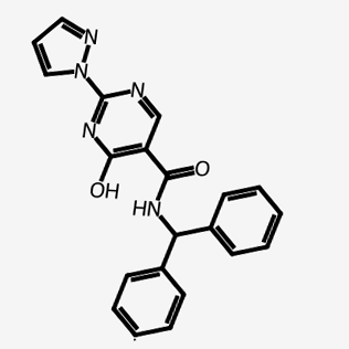 O=C(NC(c1cc[c]cc1)c1ccccc1)c1cnc(-n2cccn2)nc1O